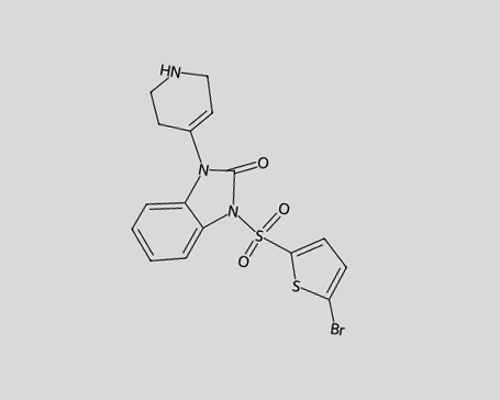 O=c1n(C2=CCNCC2)c2ccccc2n1S(=O)(=O)c1ccc(Br)s1